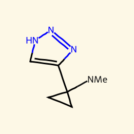 CNC1(c2c[nH]nn2)CC1